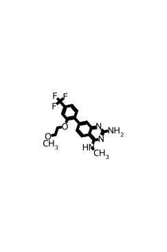 CNc1nc(N)nc2cc(-c3ccc(C(F)(F)F)cc3OCCOC)ccc12